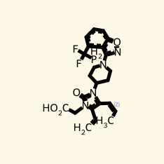 C=Cc1c(/C=C\C)n(C2CCN(c3noc4cccc(C(F)(F)P)c34)CC2)c(=O)n1CC(=O)O